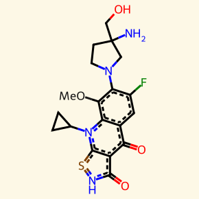 COc1c(N2CCC(N)(CO)C2)c(F)cc2c(=O)c3c(=O)[nH]sc3n(C3CC3)c12